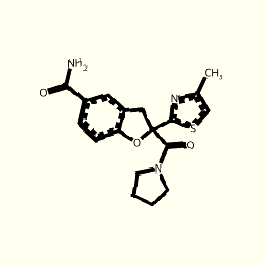 Cc1csc(C2(C(=O)N3CCCC3)Cc3cc(C(N)=O)ccc3O2)n1